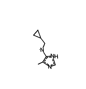 Cc1nc[nH]c1[N]CC1CC1